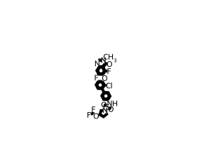 Cn1cnc2ccc(Oc3c(F)ccc(-c4ccc(NS(=O)(=O)N5CC[C@@H](OC(F)F)C5)cc4)c3Cl)c(F)c2c1=O